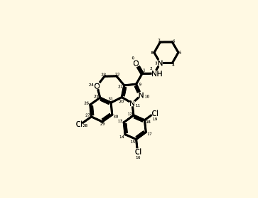 O=C(NN1CCCCC1)c1nn(-c2ccc(Cl)cc2Cl)c2c1CCOc1cc(Cl)ccc1-2